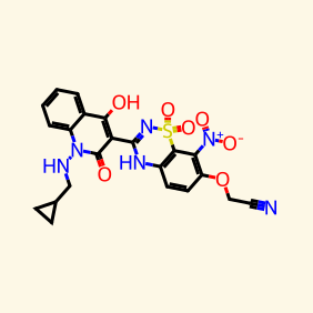 N#CCOc1ccc2c(c1[N+](=O)[O-])S(=O)(=O)N=C(c1c(O)c3ccccc3n(NCC3CC3)c1=O)N2